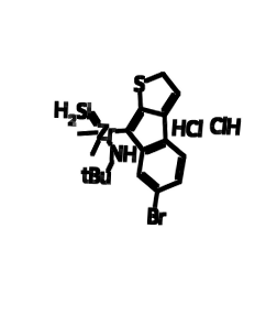 CC(C)(C)[NH][Zr]([CH3])([CH3])(=[SiH2])[C]1=C2SCC=C2c2ccc(Br)cc21.Cl.Cl